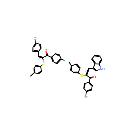 Cc1ccc(S/C(=C/c2c[nH]c3ccccc23)C(=O)c2ccc(Br)cc2)cc1.Cc1ccc(S/C(=C/c2ccc(Cl)cc2)C(=O)c2ccc(Cl)cc2)cc1